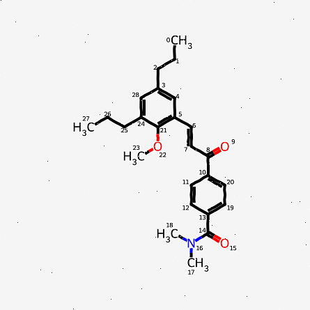 CCCc1cc(C=CC(=O)c2ccc(C(=O)N(C)C)cc2)c(OC)c(CCC)c1